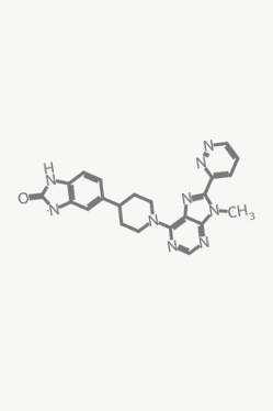 Cn1c(-c2cccnn2)nc2c(N3CCC(c4ccc5c(c4)[N]C(=O)N5)CC3)ncnc21